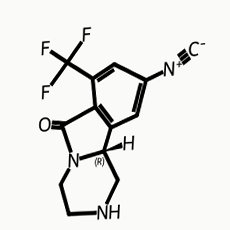 [C-]#[N+]c1cc2c(c(C(F)(F)F)c1)C(=O)N1CCNC[C@@H]21